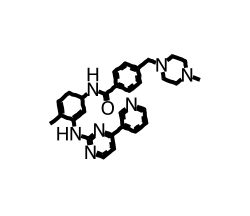 CC1=CCC(NC(=O)c2ccc(CN3CCN(C)CC3)cc2)C=C1Nc1nccc(-c2cccnc2)n1